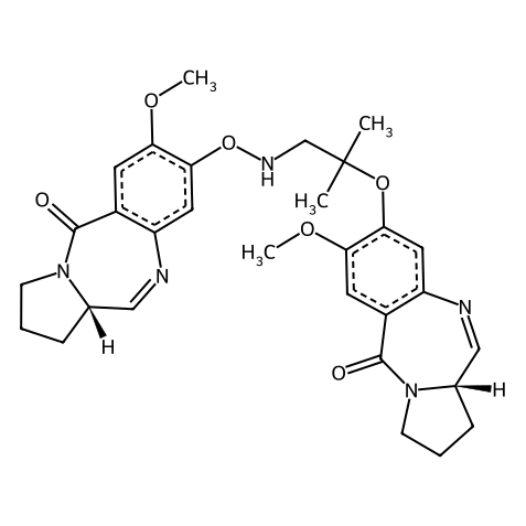 COc1cc2c(cc1ONCC(C)(C)Oc1cc3c(cc1OC)C(=O)N1CCC[C@H]1C=N3)N=C[C@@H]1CCCN1C2=O